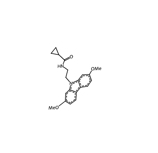 COc1ccc2c3ccc(OC)cc3n(CCNC(=O)C3CC3)c2c1